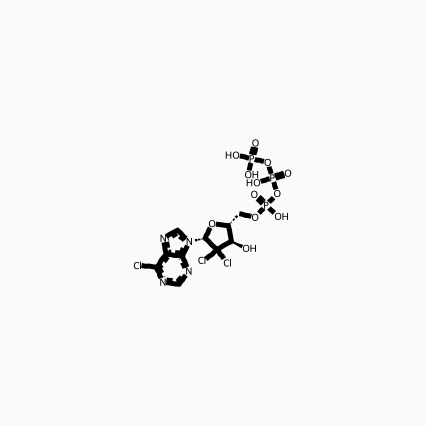 O=P(O)(O)OP(=O)(O)OP(=O)(O)OC[C@H]1O[C@@H](n2cnc3c(Cl)ncnc32)C(Cl)(Cl)[C@@H]1O